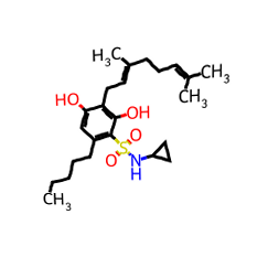 CCCCCc1cc(O)c(C/C=C(\C)CCC=C(C)C)c(O)c1S(=O)(=O)NC1CC1